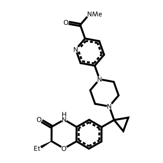 CC[C@@H]1Oc2ccc(C3(N4CCN(c5ccc(C(=O)NC)nc5)CC4)CC3)cc2NC1=O